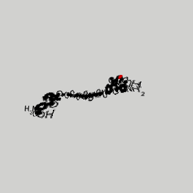 COc1c(-c2ccc(OCCOCCOCCOCCOCCOCCOCCOc3c(C)c(C(=O)c4ccc(N)c(C(=O)O)c4)n4ccccc34)cc2)c(C(=O)c2ccc(N)c(C(=O)O)c2)n2ccccc12